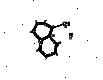 Oc1cccc2cccnc12.[N]